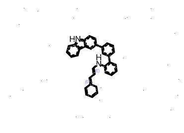 C1=CC/C(=C\C=C\Nc2ccccc2-c2cccc(-c3ccc4[nH]c5ccccc5c4c3)c2)C=C1